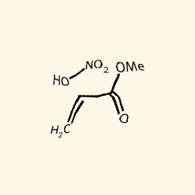 C=CC(=O)OC.O=[N+]([O-])O